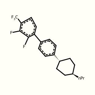 CCC[C@H]1CC[C@H](c2ccc(-c3ccc(C(F)(F)F)c(F)c3F)cc2)CC1